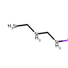 [SiH3]C[SiH2]C[SiH2]I